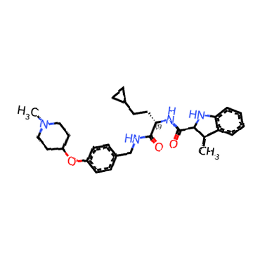 CC1c2ccccc2NC1C(=O)N[C@@H](CCC1CC1)C(=O)NCc1ccc(OC2CCN(C)CC2)cc1